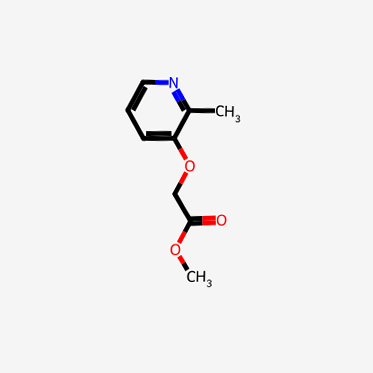 COC(=O)COc1cccnc1C